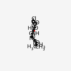 CC(C)(C)OC(=O)N1CC(c2ncc(C(=O)NC34CC(NC(=O)[C@H]5CC(=O)c6cc(Cl)ccc6O5)(C3)C4)o2)C1